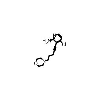 Nc1nccc(Cl)c1C#CCCCN1CCOCC1